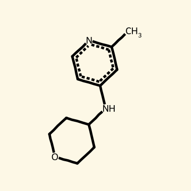 Cc1cc(NC2CCOCC2)ccn1